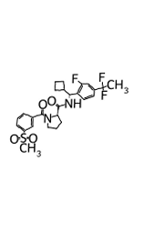 CC(F)(F)c1ccc([C@H](NC(=O)[C@H]2CCCN2C(=O)c2cccc(S(C)(=O)=O)c2)C2CCC2)c(F)c1